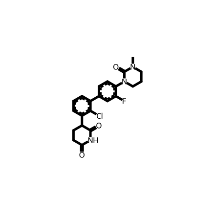 CN1CCCN(c2ccc(-c3cccc(C4CCC(=O)NC4=O)c3Cl)cc2F)C1=O